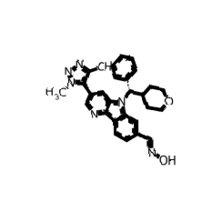 Cc1nnn(C)c1-c1cnc2c3ccc(/C=N/O)cc3n([C@H](c3ccccc3)C3CCOCC3)c2c1